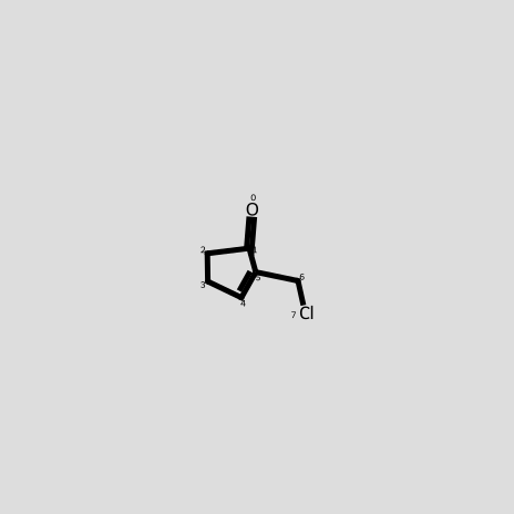 O=C1CCC=C1CCl